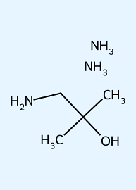 CC(C)(O)CN.N.N